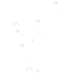 Cc1[nH]nc(-c2nc3cc4cn[nH]c4cc3[nH]2)c1C(=O)NCC1CCNCC1